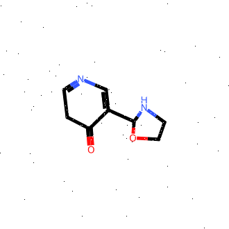 O=C1CC=N[C]=C1C1NCCO1